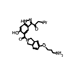 CC(C)CC(=O)c1n[nH]c2cc(O)c(C(=O)N3Cc4ccc(OCCCN)cc4C3)cc12